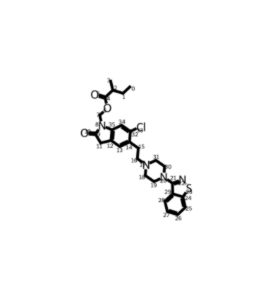 CCC(C)C(=O)OCN1C(=O)Cc2cc(CCN3CCN(c4nsc5ccccc45)CC3)c(Cl)cc21